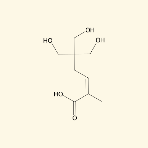 CC(=CCC(CO)(CO)CO)C(=O)O